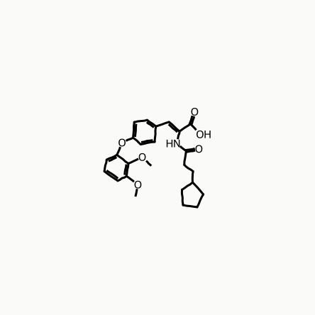 COc1cccc(Oc2ccc(C=C(NC(=O)CCC3CCCC3)C(=O)O)cc2)c1OC